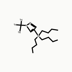 [2H]C([2H])([2H])n1c[c]([Sn]([CH2]CCC)([CH2]CCC)[CH2]CCC)cn1